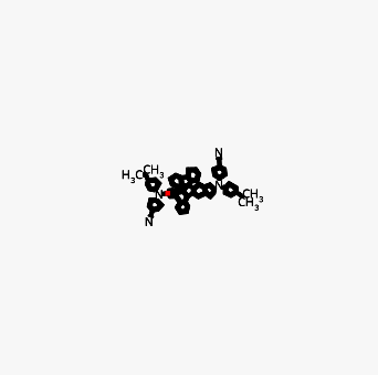 CC(C)c1ccc(N(c2ccc(C#N)cc2)c2ccc3cc4c(cc3c2)C2(c3ccccc3-c3ccccc32)c2c-4c3ccccc3c3cc(N(c4ccc(C#N)cc4)c4ccc(C(C)C)cc4)ccc23)cc1